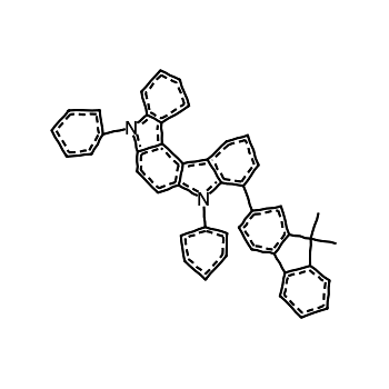 CC1(C)c2ccccc2-c2ccc(-c3cccc4c5c6c7ccccc7n(-c7ccccc7)c6ccc5n(-c5ccccc5)c34)cc21